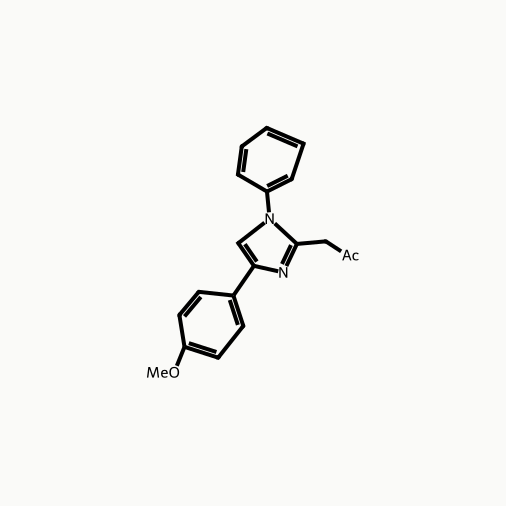 COc1ccc(-c2cn(-c3ccccc3)c(CC(C)=O)n2)cc1